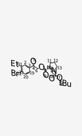 CCc1cc(C(=O)COC(=O)[C@@H]2CCCN2C(=O)OC(C)(C)C)ccc1Br